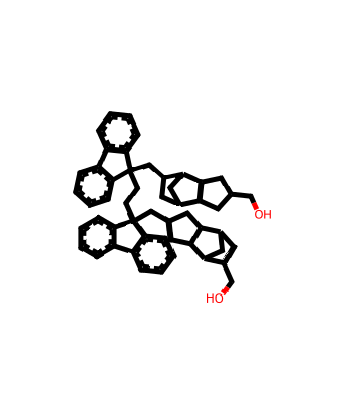 OCC1CC2C3CC(CC4(CCC5(CC6CC7C8CC(CO)C(C8)C7C6)c6ccccc6-c6ccccc65)c5ccccc5-c5ccccc54)C(C3)C2C1